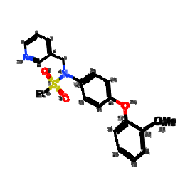 CCS(=O)(=O)N(Cc1cccnc1)c1ccc(Oc2ccccc2OC)cc1